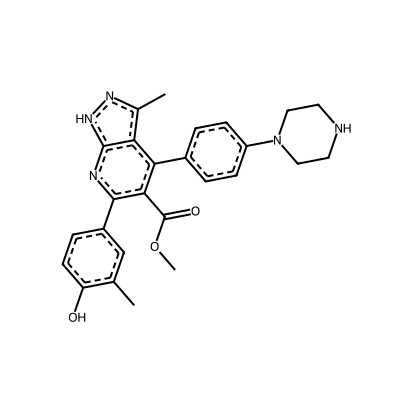 COC(=O)c1c(-c2ccc(O)c(C)c2)nc2[nH]nc(C)c2c1-c1ccc(N2CCNCC2)cc1